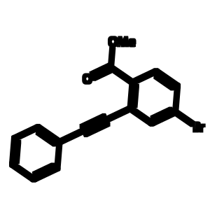 COC(=O)c1ccc(Br)cc1C#Cc1ccccc1